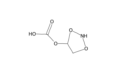 O=C(O)OC1CONO1